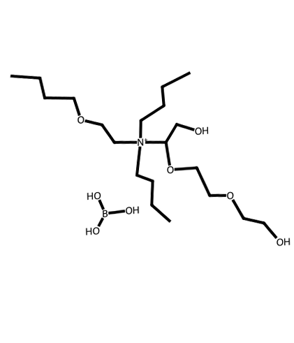 CCCCOCC[N+](CCCC)(CCCC)C(CO)OCCOCCO.OB(O)O